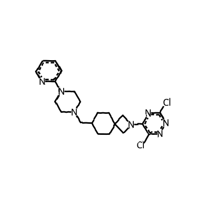 Clc1nnc(Cl)c(N2CC3(CCC(CN4CCN(c5ccccn5)CC4)CC3)C2)n1